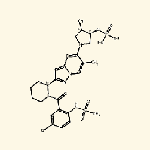 Cc1cn2nc([C@@H]3CCCCN3C(=O)c3cc(Cl)ccc3NS(C)(=O)=O)cc2nc1N1C[C@@H](C#N)[C@@H](OP(=O)(O)O)C1